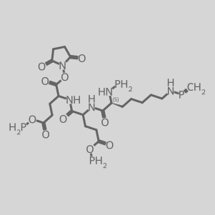 C=PNCCCCC[C@H](NP)C(=O)NC(CCC(=O)OP)C(=O)NC(CCC(=O)OP)C(=O)ON1C(=O)CCC1=O